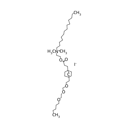 CCCCCCCCCCCCCC[N+](C)(C)CCOC(=O)CCC12CCC(CCOCOCCOCCCCC)(CC1)CC2.[I-]